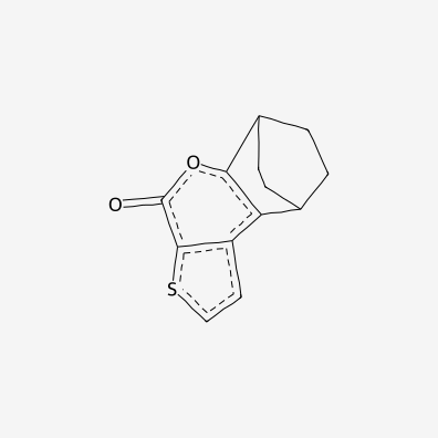 O=c1oc2c(c3ccsc13)C1CCC2CC1